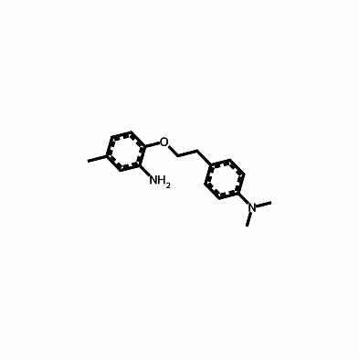 Cc1ccc(OCCc2ccc(N(C)C)cc2)c(N)c1